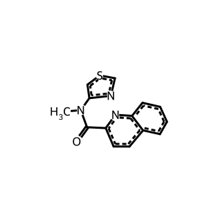 CN(C(=O)c1ccc2ccccc2n1)c1cscn1